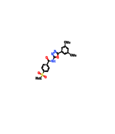 CNS(=O)(=O)c1ccc(C(=O)Nc2nnc(-c3cc(OC)cc(OC)c3)o2)cc1